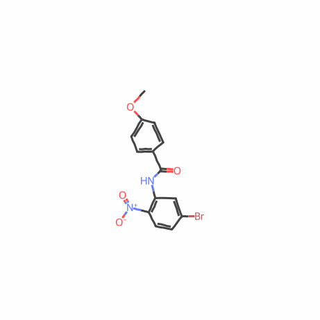 COc1ccc(C(=O)Nc2cc(Br)ccc2[N+](=O)[O-])cc1